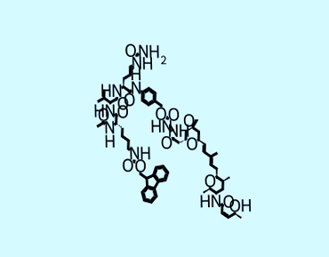 CC(=O)N[C@@H](CCCCNC(=O)OCC1c2ccccc2-c2ccccc21)C(=O)N[C@H](C(=O)N[C@@H](CCCNC(N)=O)C(=O)Nc1ccc(COC(=O)NNC(=O)C[C@@H]2C[C@@]3(CO3)C[C@@H](/C=C/C(C)=C/C[C@@H]3O[C@H](C)[C@H](NC(=O)/C=C\[C@H](C)O)C[C@@H]3C)O2)cc1)C(C)C